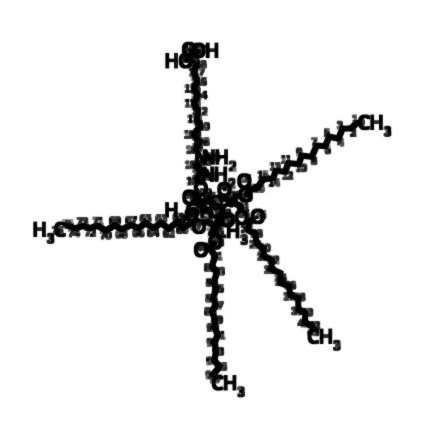 CCCCCCCCCCCCCCCCCC(=O)OCC(C)(COC(=O)CCCCCCCCCCCCCCCCC)C(=O)OCC(C)(COC(=O)C(C)(COC(=O)CCCCCCCCCCCCCCCCC)COC(=O)CCCCCCCCCCCCCCCCC)C(=O)OC/C(N)=C/N(N)CCCCCCCCCCCCP(=O)(O)O